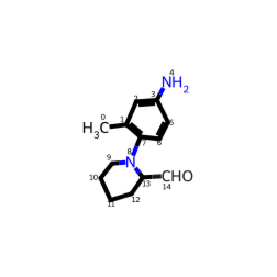 Cc1cc(N)ccc1N1CCCCC1C=O